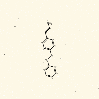 O=[N+]([O-])C=Cc1ccc(COc2ccccn2)cc1